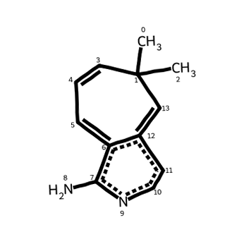 CC1(C)C=CC=c2c(N)nccc2=C1